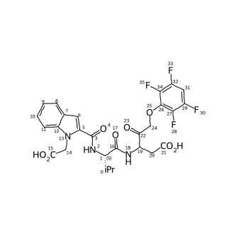 CC(C)[C@H](NC(=O)c1cc2ccccc2n1CC(=O)O)C(=O)NC(CC(=O)O)C(=O)COc1c(F)c(F)cc(F)c1F